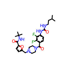 CC(C)CCNC(=O)Nc1ccc(C(=O)N2CCN(Cc3ccc(C(=O)NC(C)(C)C)o3)CC2)c(F)c1F